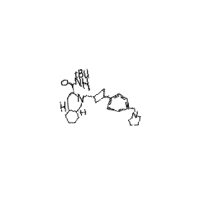 CC(C)(C)NC(=O)[C@@H]1C[C@@H]2CCCC[C@@H]2CN1CC1CC(c2ccc(CN3CCCC3)cc2)C1